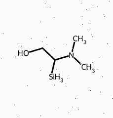 CN(C)C([SiH3])CO